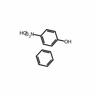 Cl.O=[N+]([O-])c1ccc(O)cc1.c1ccccc1